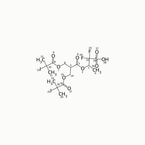 CC(OC(=O)C(COC(=O)C(C)(C)I)COC(=O)C(C)(C)I)C(F)(F)S(=O)(=O)O